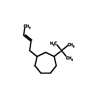 CC=CCC1[CH]CCCC([Si](C)(C)C)C1